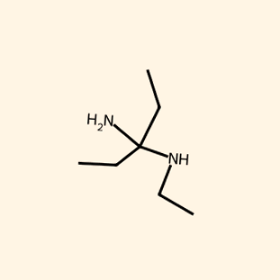 CCNC(N)(CC)CC